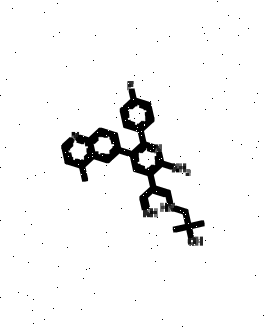 Cc1ccnc2ccc(-c3cc(/C(C=N)=C/NCC(C)(C)O)c(N)nc3-c3ccc(F)cc3)cc12